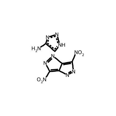 Nc1c[nH]nn1.O=[N+]([O-])C1=C2N=NC([N+](=O)[O-])=C2N=N1